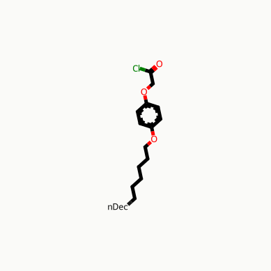 CCCCCCCCCCCCCCCCOc1ccc(OCC(=O)Cl)cc1